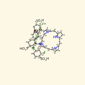 O=S(=O)(O)c1ccc(F)c(C2=Cc3cc4ccc(cc5nc(cc6[nH]c(c(-c7c(F)ccc(S(=O)(=O)O)c7F)c2n3)c(-c2c(F)ccc(S(=O)(=O)O)c2F)c6-c2c(F)ccc(S(=O)(=O)O)c2F)C=C5)[nH]4)c1F